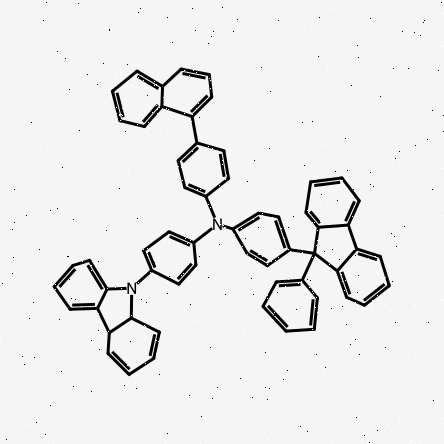 C1=CC2c3ccccc3N(c3ccc(N(c4ccc(-c5cccc6ccccc56)cc4)c4ccc(C5(c6ccccc6)c6ccccc6-c6ccccc65)cc4)cc3)C2C=C1